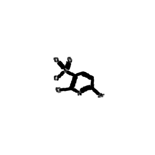 O=S(=O)(Cl)c1ccc(Br)nc1Cl